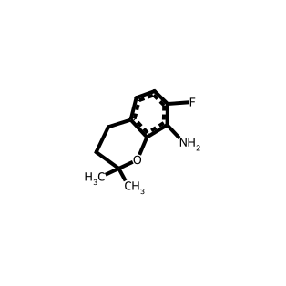 CC1(C)CCc2ccc(F)c(N)c2O1